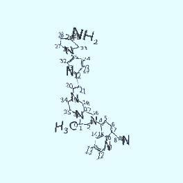 CC1CN(c2ccc(C#N)c3ncccc23)CC2CN(CCc3ccc(N4CCC(N)C4)cn3)CCN12